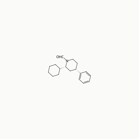 O=CN1CC[C@H](c2ccccc2)C[C@@H]1C1CCCCC1